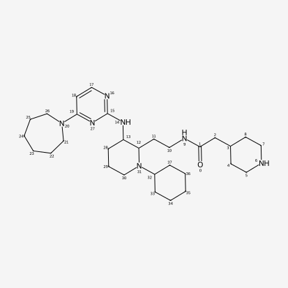 O=C(CC1CCNCC1)NCCC1C(Nc2nccc(N3CCCCCC3)n2)CCCN1C1CCCCC1